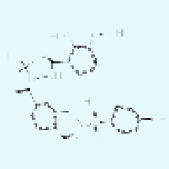 COc1cccc(C(=O)NN(C(=O)c2ccc3c(c2)B(O)N(S(=O)(=O)c2ccc(C)cc2)N=C3)C(C)(C)C)c1C